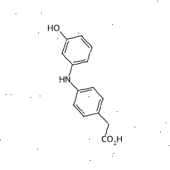 O=C(O)Cc1ccc(Nc2cccc(O)c2)cc1